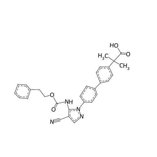 CC(C)(C(=O)O)c1ccc(-c2ccc(-n3ncc(C#N)c3NC(=O)OCCc3ccccc3)cc2)cc1